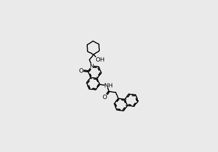 O=C(Cc1cccc2ccccc12)Nc1cccc2c(=O)n(CC3(O)CCCCC3)ccc12